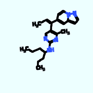 C/C=C(/c1ccn2nccc2c1)c1cnc(NC(CCC)CCC)nc1C